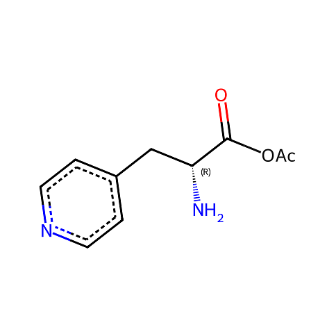 CC(=O)OC(=O)[C@H](N)Cc1ccncc1